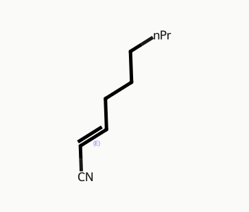 CCCCCC/C=C/C#N